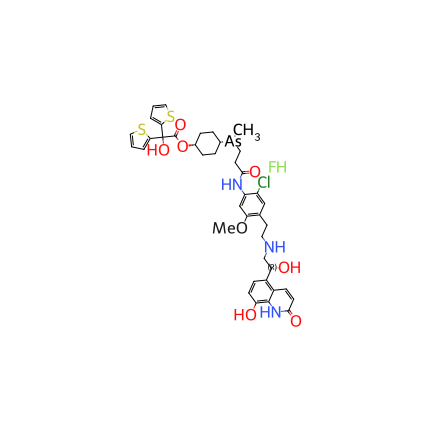 COc1cc(NC(=O)CC[As](C)[C@H]2CC[C@H](OC(=O)C(O)(c3cccs3)c3cccs3)CC2)c(Cl)cc1CCNC[C@H](O)c1ccc(O)c2[nH]c(=O)ccc12.F